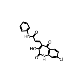 O=C(/C=C/c1c(O)c(=O)[nH]c2cc(Cl)ccc2c1=O)Nc1ccccc1